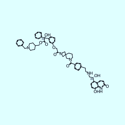 O=C(COc1cccc([C@](O)(C(=O)OCC2CCN(Cc3ccccc3)CC2)c2ccccc2)c1)N1CC2(CCCN(C(=O)c3ccc(CCNC[C@H](O)c4ccc(O)c5[nH]c(=O)ccc45)cc3)C2)C1